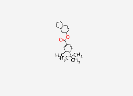 Cc1cc(C(=O)Oc2ccc3c(c2)CCC3)ccc1C(C)(C)C